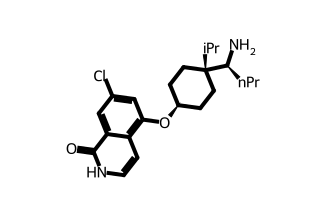 CCC[C@H](N)[C@]1(C(C)C)CC[C@@H](Oc2cc(Cl)cc3c(=O)[nH]ccc23)CC1